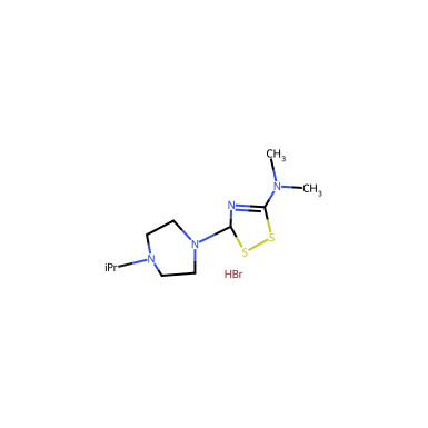 Br.CC(C)N1CCN(C2N=C(N(C)C)SS2)CC1